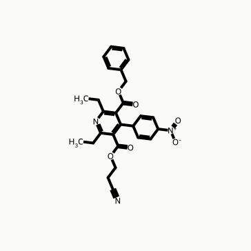 CCc1nc(CC)c(C(=O)OCc2ccccc2)c(C2C=CC([N+](=O)[O-])C=C2)c1C(=O)OCCC#N